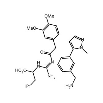 COc1ccc(CC(=O)N=C(N)NC(CC(C)C)C(=O)O)cc1OC.Cn1nccc1-c1cccc(CN)c1